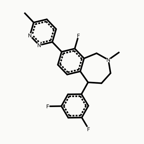 Cc1ccc(-c2ccc3c(c2F)CN(C)CCC3c2cc(F)cc(F)c2)nn1